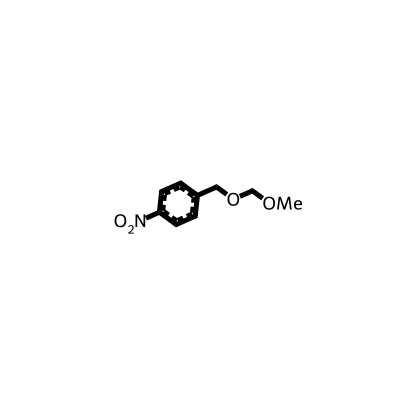 COCOCc1ccc([N+](=O)[O-])cc1